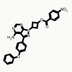 Nc1ncnc2c1c(-c1ccc(Oc3ccccc3)cc1)nn2C1CC(OC(=O)c2ccc([N+](=O)[O-])cc2)C1